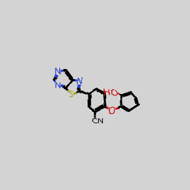 N#Cc1cc(-c2nc3cncnc3s2)ccc1Oc1ccccc1O